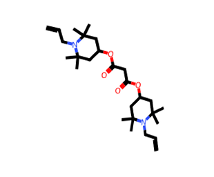 C=CCN1C(C)(C)CC(OC(=O)CC(=O)OC2CC(C)(C)N(CC=C)C(C)(C)C2)CC1(C)C